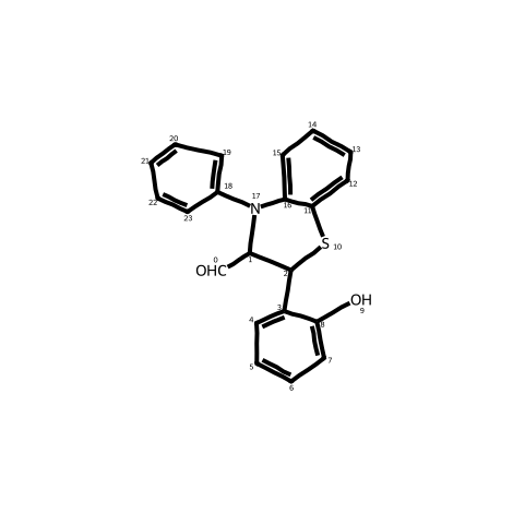 O=CC1C(c2ccccc2O)Sc2ccccc2N1c1ccccc1